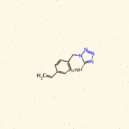 C=Cc1ccc(Cn2nnnc2NC(C)=O)cc1